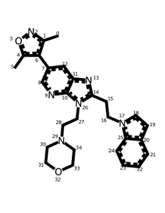 Cc1noc(C)c1-c1cnc2c(c1)nc(CCn1ccc3ccccc31)n2CCN1CCOCC1